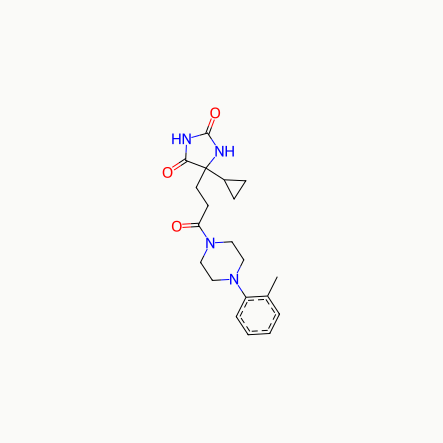 Cc1ccccc1N1CCN(C(=O)CCC2(C3CC3)NC(=O)NC2=O)CC1